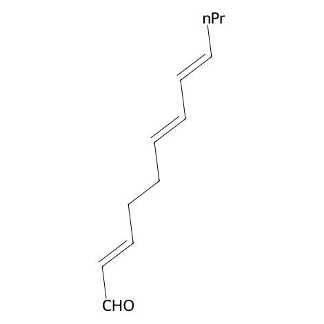 CCCC=CC=CCCC=CC=O